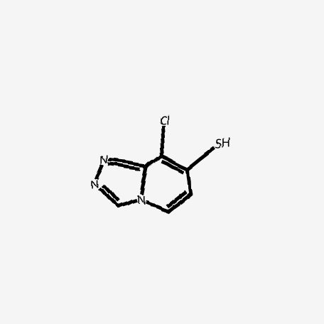 Sc1ccn2cnnc2c1Cl